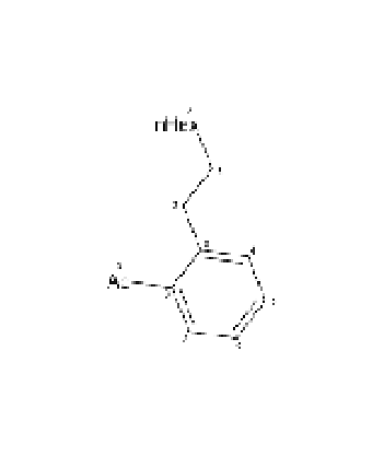 CCCCCCCCc1ccccc1C(C)=O